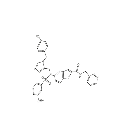 COc1cccc(S(=O)(=O)N(Cc2cncn2Cc2ccc(C#N)cc2)c2ccc3sc(C(=O)NCc4cccnc4)cc3c2)c1